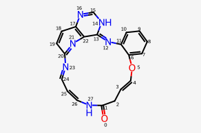 O=C1C/C=C/Oc2ccccc2/N=C2\NC=Nc3ccc(nc32)/N=C/C=C\N1